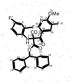 CCOC(=O)C(Nc1ccc(F)cc1F)(C(=O)OC(c1ccccc1)c1ccccc1)C(=O)c1cnc(OC)c(F)c1